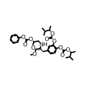 COC(=O)[C@H](Cc1ccc(OC(=O)OC(C)C(C)C)c(OC(=O)OC(C)C(C)C)c1)NCC(C)OC(=O)Oc1ccccc1